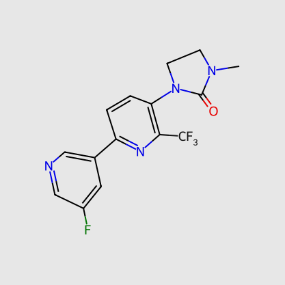 CN1CCN(c2ccc(-c3cncc(F)c3)nc2C(F)(F)F)C1=O